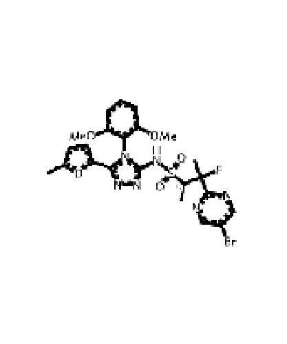 COc1cccc(OC)c1-n1c(NS(=O)(=O)[C@H](C)C(C)(F)c2ncc(Br)cn2)nnc1-c1ccc(C)o1